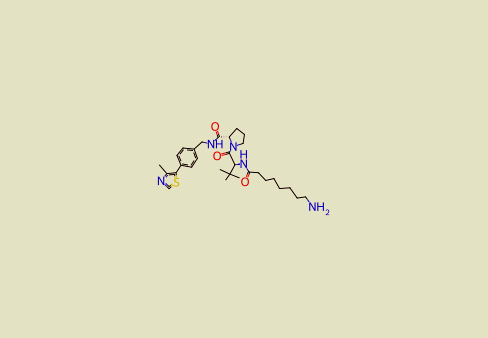 Cc1ncsc1-c1ccc(CNC(=O)[C@@H]2CCCN2C(=O)[C@@H](NC(=O)CCCCCCCN)C(C)(C)C)cc1